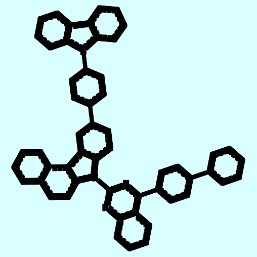 c1ccc(-c2ccc(-c3nc(-n4c5ccc(-c6ccc(-n7c8ccccc8c8ccccc87)cc6)cc5c5c6ccccc6ccc54)nc4ccccc34)cc2)cc1